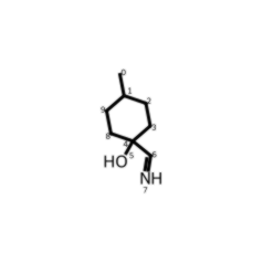 CC1CCC(O)(C=N)CC1